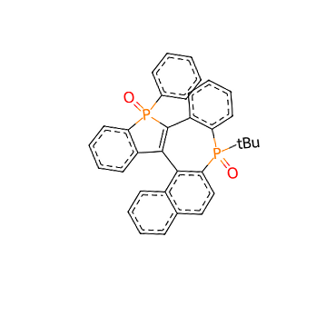 CC(C)(C)P1(=O)c2ccccc2C2=C(c3ccccc3P2(=O)c2ccccc2)c2c1ccc1ccccc21